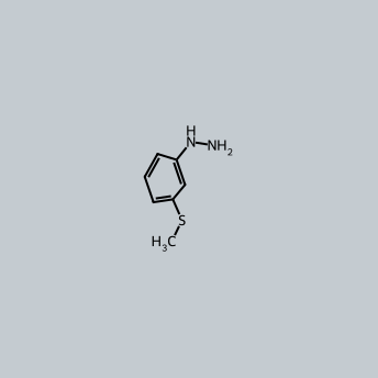 CSc1cccc(NN)c1